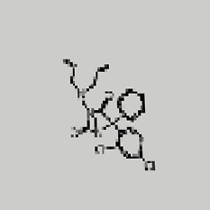 C=CCN(CC=C)CN1C(=O)NC(c2ccccc2)(c2ccc(Cl)cc2Cl)C1=O